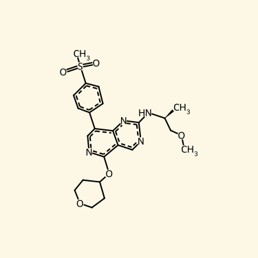 COC[C@H](C)Nc1ncc2c(OC3CCOCC3)ncc(-c3ccc(S(C)(=O)=O)cc3)c2n1